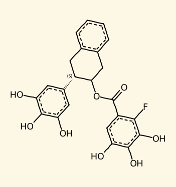 O=C(OC1Cc2ccccc2C[C@H]1c1cc(O)c(O)c(O)c1)c1cc(O)c(O)c(O)c1F